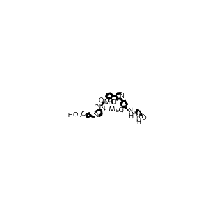 COc1cc(-c2nccc(-c3cccc(NC(=O)c4nc5c(n4C)CN(CC4CC(C(=O)O)C4)CC5)c3Cl)c2Cl)ccc1CNC[C@H]1CCC(=O)N1